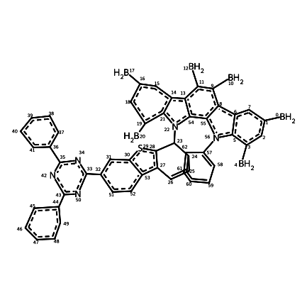 Bc1cc(B)c2c(c1)c1c(B)c(B)c3c4cc(B)cc(B)c4n(C4CC=Cc5c4sc4cc(-c6nc(-c7ccccc7)nc(-c7ccccc7)n6)ccc54)c3c1n2C1=CC=C=C=C1